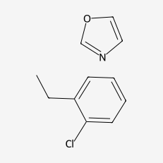 CCc1ccccc1Cl.c1cocn1